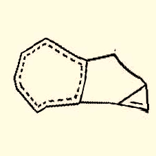 [CH]1c2ccccc2C2=CC12